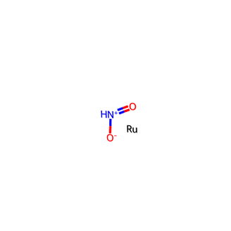 O=[NH+][O-].[Ru]